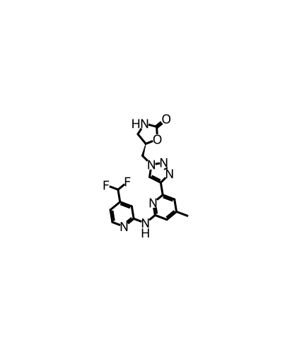 Cc1cc(Nc2cc(C(F)F)ccn2)nc(-c2cn(C[C@H]3CNC(=O)O3)nn2)c1